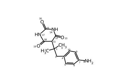 CC(C)(Cc1ccc(N)cc1)C1C(=O)NC(=O)NC1=O